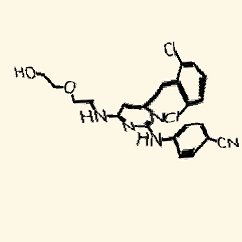 N#Cc1ccc(Nc2nc(Cc3c(Cl)cccc3Cl)cc(NCCOCCO)n2)cc1